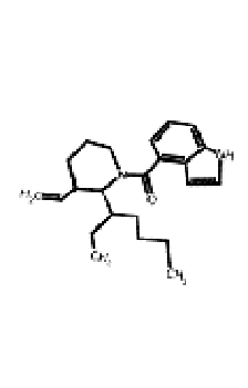 C=CC1CCCN(C(=O)c2cccc3[nH]ccc23)[C@H]1C(CC)CCCC